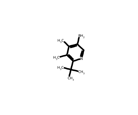 Bc1cnc(C(C)(C)C)c(C)c1C